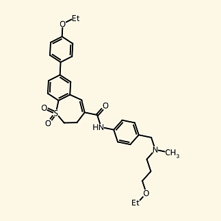 CCOCCCN(C)Cc1ccc(NC(=O)C2=Cc3cc(-c4ccc(OCC)cc4)ccc3S(=O)(=O)CC2)cc1